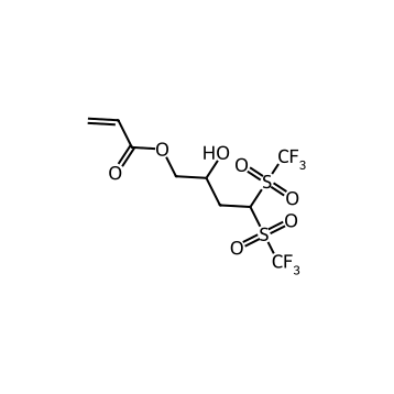 C=CC(=O)OCC(O)CC(S(=O)(=O)C(F)(F)F)S(=O)(=O)C(F)(F)F